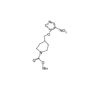 CC(C)(C)OC(=O)N1CCC(COc2sncc2[N+](=O)[O-])CC1